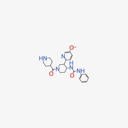 COc1ccc(C2CN(C(=O)C3CCNCC3)CCC2NC(=O)Nc2ccccc2)nc1